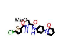 COCC(NC(=O)c1ccc(Cl)s1)C(=O)Nc1ccc(-n2ccccc2=O)cc1